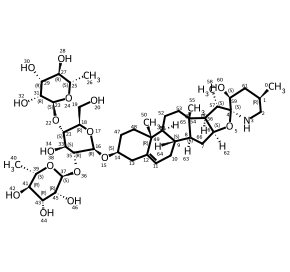 C[C@H]1CN[C@@]2(O[C@H]3C[C@H]4[C@@H]5CC=C6C[C@@H](O[C@@H]7O[C@H](CO)[C@@H](O[C@@H]8O[C@@H](C)[C@H](O)[C@@H](O)[C@H]8O)[C@H](O)[C@H]7O[C@@H]7O[C@@H](C)[C@H](O)[C@@H](O)[C@H]7O)CC[C@]6(C)[C@H]5CC[C@]4(C)[C@H]3[C@@H]2C)[C@@H](O)C1